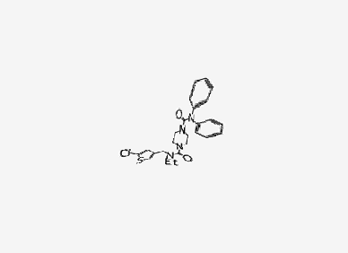 CCN(Cc1csc(Cl)c1)C(=O)N1CCN(C(=O)N(c2ccccc2)c2ccccc2)CC1